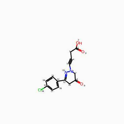 O=C(O)CC#CN1CC(=O)CC(c2ccc(Cl)cc2)=N1